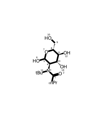 CCCC(=O)N([C@H]1C(O)O[C@H](CO)[C@@H](O)[C@@H]1O)C(C)(C)C